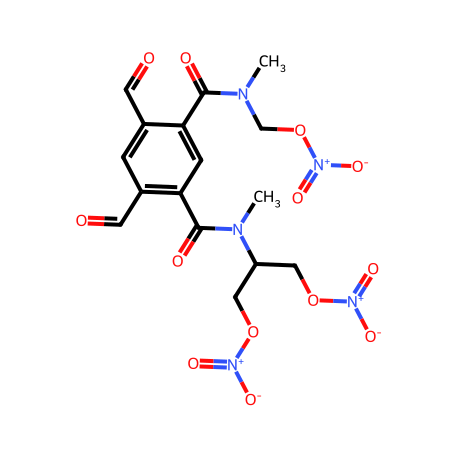 CN(CO[N+](=O)[O-])C(=O)c1cc(C(=O)N(C)C(CO[N+](=O)[O-])CO[N+](=O)[O-])c(C=O)cc1C=O